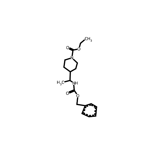 CCOC(=O)N1CCC(C(C)NC(=O)OCc2ccccc2)CC1